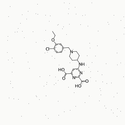 CCOc1cc(CN2CCC(Nc3cc(C(=O)O)nc(C(=O)O)n3)CC2)ccc1Cl